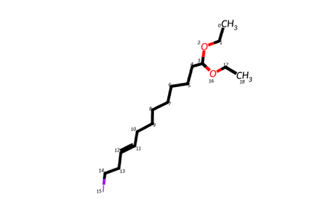 CCOC(CCCCCCC/C=C/CCI)OCC